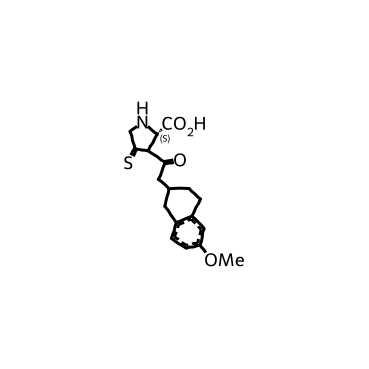 COc1ccc2c(c1)CCC(CC(=O)C1C(=S)CN[C@@H]1C(=O)O)C2